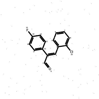 O=C/C(=C/c1ccccc1Cl)c1ccc(F)cc1